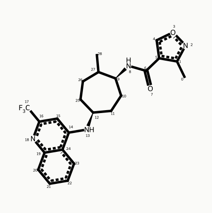 Cc1nocc1C(=O)N[C@H]1CC[C@@H](Nc2cc(C(F)(F)F)nc3ccccc23)CCC1C